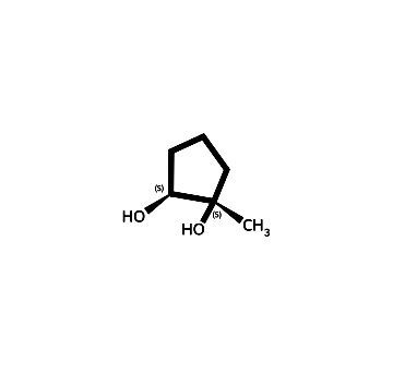 C[C@]1(O)CCC[C@@H]1O